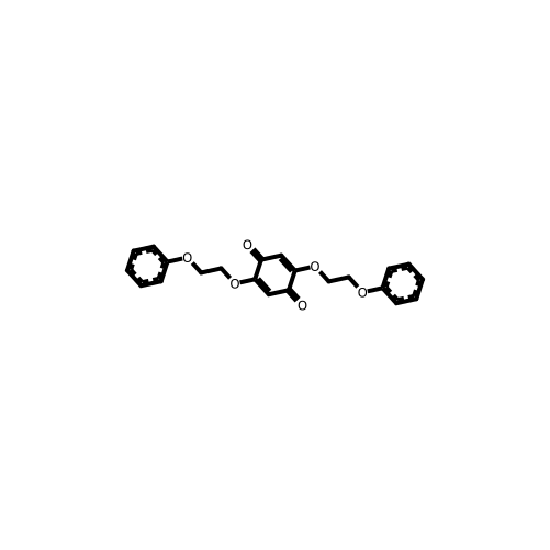 O=C1C=C(OCCOc2ccccc2)C(=O)C=C1OCCOc1ccccc1